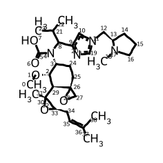 CO[C@@H]1[C@H](N(C(=O)O)C(c2cn(C[C@H]3CCCN3C)cn2)C(C)C)CC[C@]2(CO2)[C@H]1[C@@]1(C)O[C@@H]1CC=C(C)C